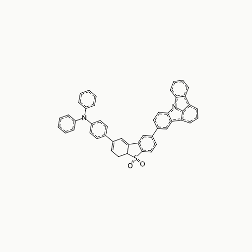 O=S1(=O)c2ccc(-c3ccc4c(c3)c3cccc5c6ccccc6n4c53)cc2C2=CC(c3ccc(N(c4ccccc4)c4ccccc4)cc3)=CCC21